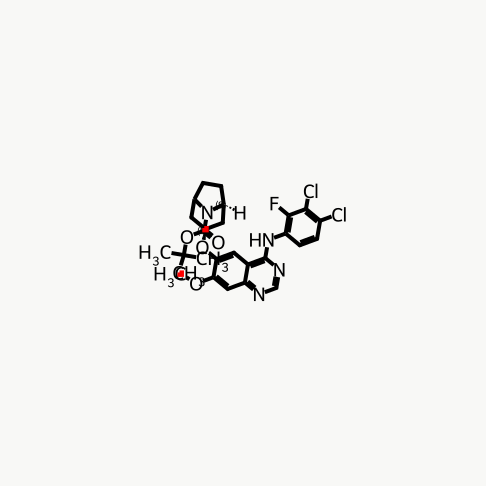 COc1cc2ncnc(Nc3ccc(Cl)c(Cl)c3F)c2cc1O[C@H]1CC2CC[C@@H](C1)N2C(=O)OC(C)(C)C